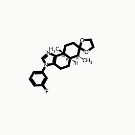 C[C@@H]1[C@H]2CCc3c(ncn3-c3cccc(F)c3)[C@]2(C)CCC12OCCO2